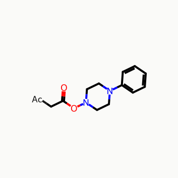 CC(=O)CC(=O)ON1CCN(c2ccccc2)CC1